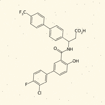 O=C(O)CC(NC(=O)c1cc(-c2ccc(F)c(Cl)c2)ccc1O)c1ccc(-c2ccc(C(F)(F)F)cc2)cc1